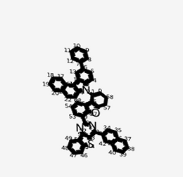 C1=C(n2c3ccc(-c4ccccc4)cc3c3c4ccccc4ccc32)c2c(oc3c(-c4nc(-c5ccc6ccccc6c5)c5sc6ccccc6c5n4)cccc23)CC1